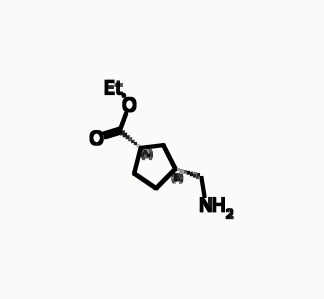 CCOC(=O)[C@H]1CC[C@@H](CN)C1